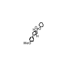 COc1ccc(N2C[C@H]3C[C@@H]2CN3C(=O)OC2CCCCC2)cc1